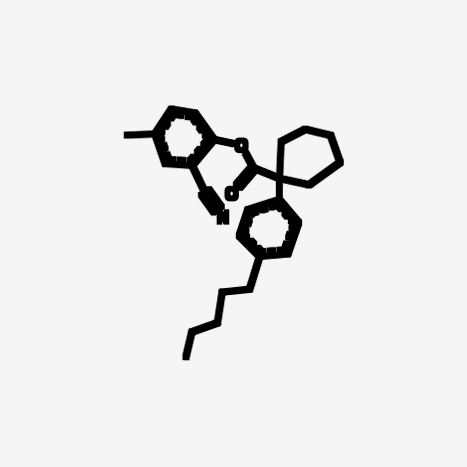 CCCCCc1ccc(C2(C(=O)Oc3ccc(C)cc3C#N)CCCCC2)cc1